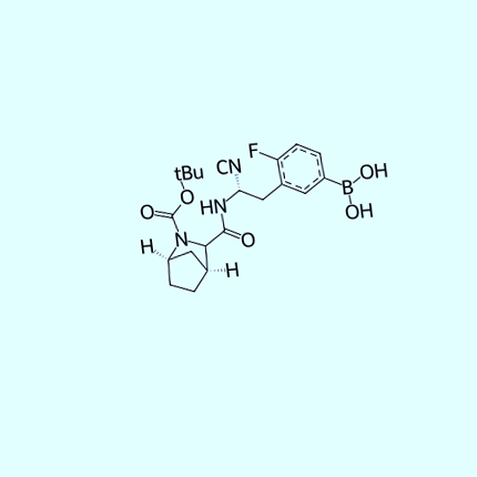 CC(C)(C)OC(=O)N1C(C(=O)N[C@H](C#N)Cc2cc(B(O)O)ccc2F)[C@H]2CC[C@@H]1C2